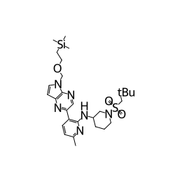 Cc1ccc(-c2cnc3c(ccn3COCC[Si](C)(C)C)n2)c(NC2CCCN(S(=O)(=O)CC(C)(C)C)C2)n1